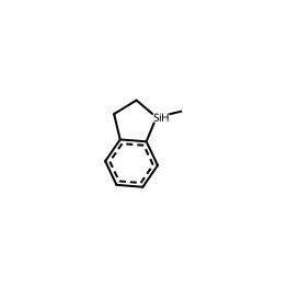 C[SiH]1CCc2ccccc21